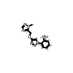 Cn1ncnc1COc1cn(-c2ccccc2C(C)(C)C)nn1